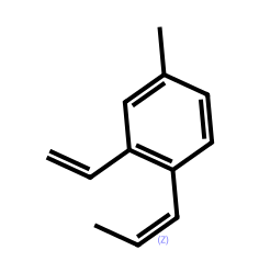 C=Cc1cc(C)ccc1/C=C\C